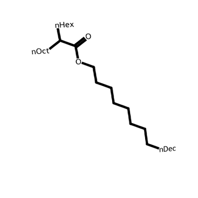 CCCCCCCCCCCCCCCCCCOC(=O)C(CCCCCC)CCCCCCCC